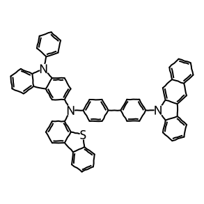 c1ccc(-n2c3ccccc3c3cc(N(c4ccc(-c5ccc(-n6c7ccccc7c7cc8ccccc8cc76)cc5)cc4)c4cccc5c4sc4ccccc45)ccc32)cc1